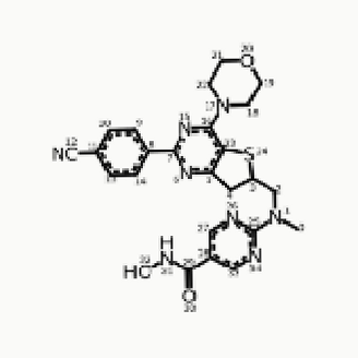 CN(CC1Cc2nc(-c3ccc(C#N)cc3)nc(N3CCOCC3)c2S1)c1ncc(C(=O)NO)cn1